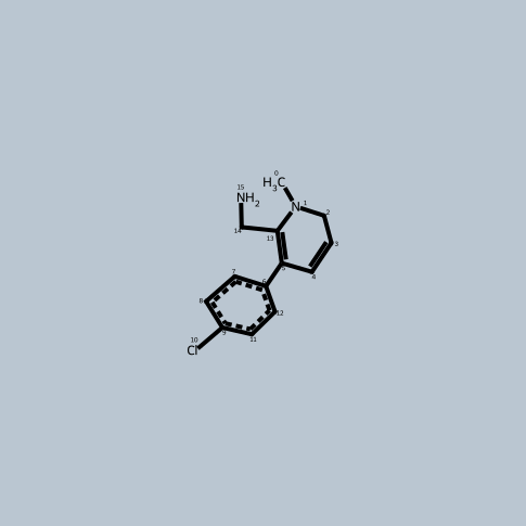 CN1CC=CC(c2ccc(Cl)cc2)=C1CN